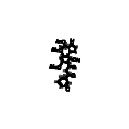 COc1cc(OC)c(C2CCNC2C(C)OC(C)=O)c(O)c1C(=O)CC(=O)c1cccc(Cl)c1